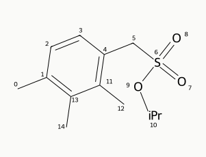 Cc1ccc(CS(=O)(=O)OC(C)C)c(C)c1C